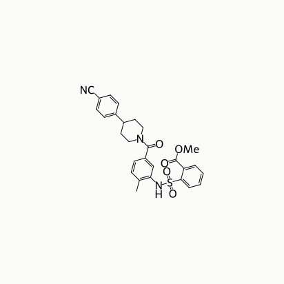 COC(=O)c1ccccc1S(=O)(=O)Nc1cc(C(=O)N2CCC(c3ccc(C#N)cc3)CC2)ccc1C